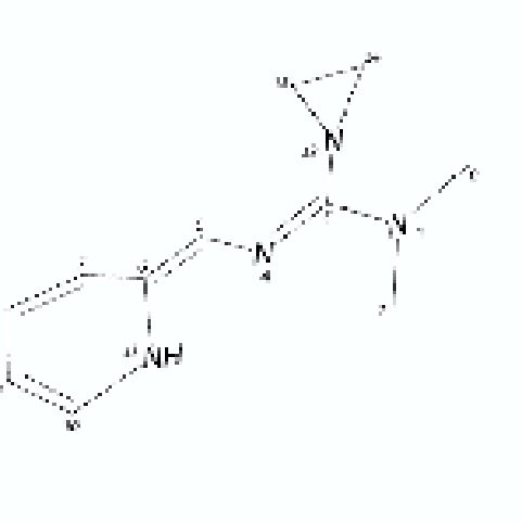 CN(C)C(=NC=C1C=CC=CN1)N1CC1